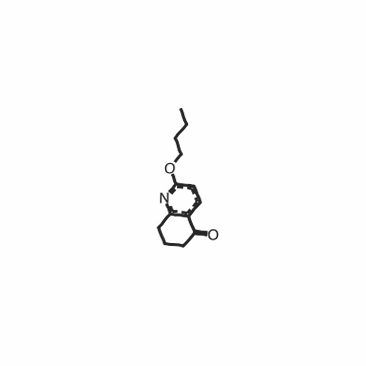 CCCCOc1ccc2c(n1)CCCC2=O